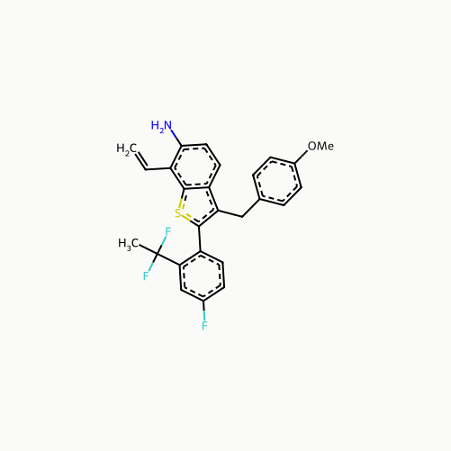 C=Cc1c(N)ccc2c(Cc3ccc(OC)cc3)c(-c3ccc(F)cc3C(C)(F)F)sc12